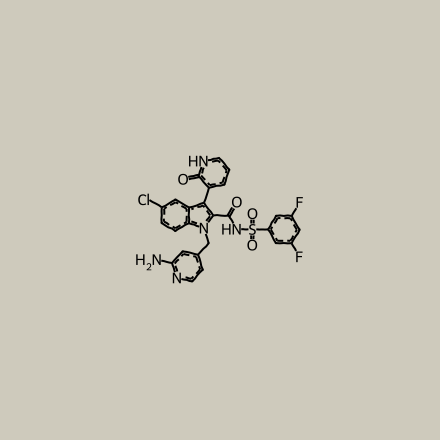 Nc1cc(Cn2c(C(=O)NS(=O)(=O)c3cc(F)cc(F)c3)c(-c3ccc[nH]c3=O)c3cc(Cl)ccc32)ccn1